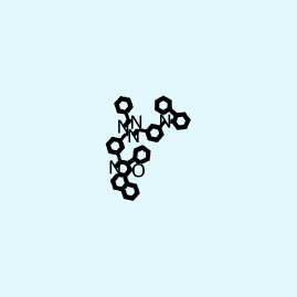 c1ccc(-c2nc(-c3cccc(-c4nc5ccc6ccccc6c5c5oc6ccccc6c45)c3)nc(-c3cccc(-n4c5ccccc5c5ccccc54)c3)n2)cc1